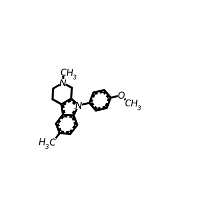 COc1ccc(-n2c3c(c4cc(C)ccc42)CCN(C)C3)cc1